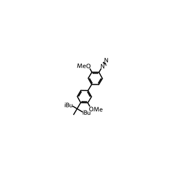 CCC(C)C(C)(c1ccc(-c2ccc([N+]#N)c(OC)c2)cc1OC)C(C)CC